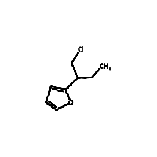 CCC(CCl)c1ccco1